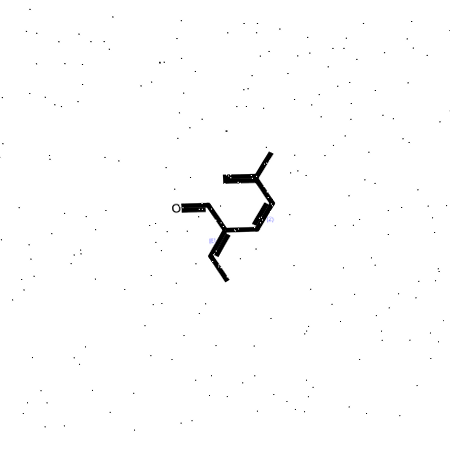 C=C(C)/C=C\C(C=O)=C/C